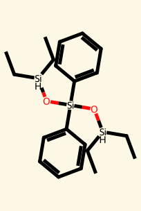 CC[SiH](CC)O[Si](O[SiH](CC)CC)(c1ccccc1)c1ccccc1